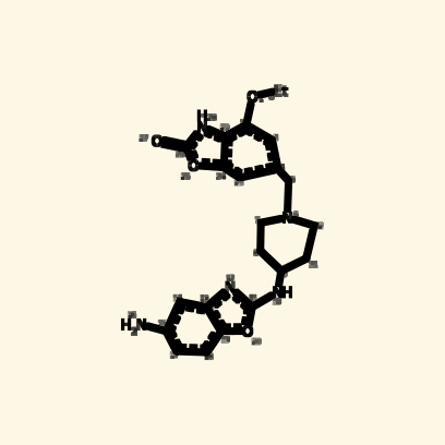 CCOc1cc(CN2CCC(Nc3nc4cc(N)ccc4o3)CC2)cc2oc(=O)[nH]c12